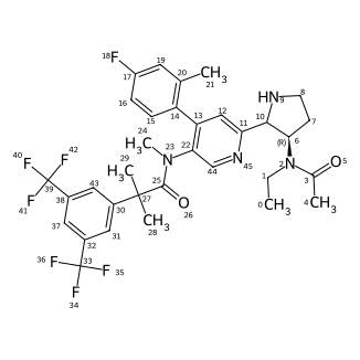 CCN(C(C)=O)[C@@H]1CCNC1c1cc(-c2ccc(F)cc2C)c(N(C)C(=O)C(C)(C)c2cc(C(F)(F)F)cc(C(F)(F)F)c2)cn1